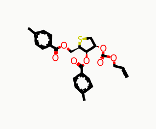 C=CCOC(=O)O[C@H]1CS[C@H](COC(=O)c2ccc(C)cc2)[C@@H]1OC(=O)c1ccc(C)cc1